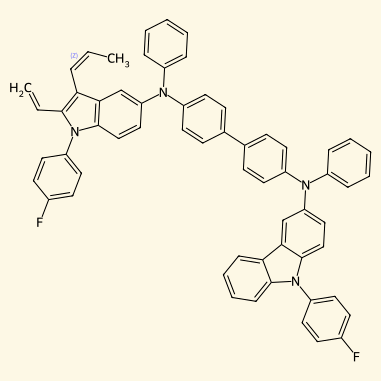 C=Cc1c(/C=C\C)c2cc(N(c3ccccc3)c3ccc(-c4ccc(N(c5ccccc5)c5ccc6c(c5)c5ccccc5n6-c5ccc(F)cc5)cc4)cc3)ccc2n1-c1ccc(F)cc1